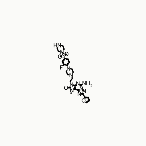 Cn1c(=O)n(CCN2CCN(c3ccc(S(=O)(=O)N4CCNCC4)cc3F)CC2)c2nc(N)n3nc(-c4ccco4)nc3c21